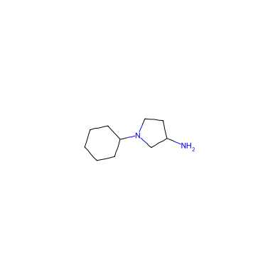 NC1CCN(C2CCCCC2)C1